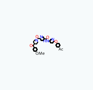 COc1ccc(C(=O)C2CCN(C(=O)c3ccc(C(=O)Nc4ccc(Oc5ccc(C(C)=O)cc5)nc4)cn3)CC2)cc1